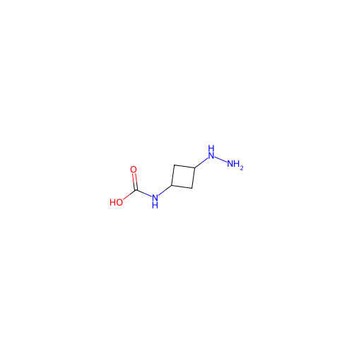 NNC1CC(NC(=O)O)C1